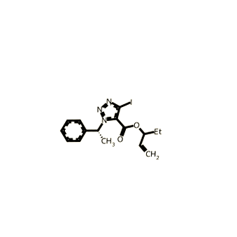 C=CC(CC)OC(=O)c1c(I)nnn1[C@H](C)c1ccccc1